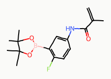 C=C(C)C(=O)Nc1ccc(F)c(B2OC(C)(C)C(C)(C)O2)c1